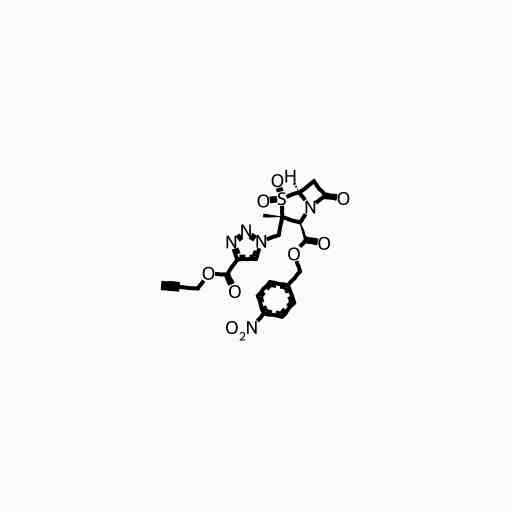 C#CCOC(=O)c1cn(C[C@@]2(C)[C@H](C(=O)OCc3ccc([N+](=O)[O-])cc3)N3C(=O)C[C@@H]3S2(=O)=O)nn1